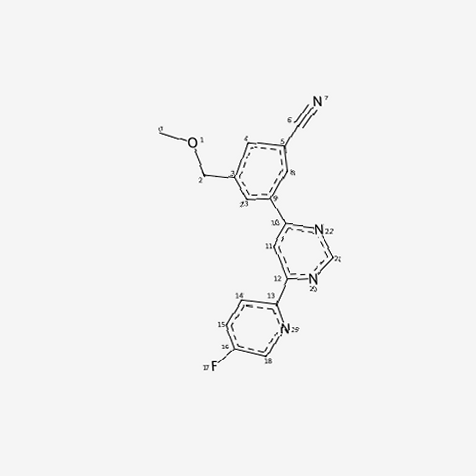 COCc1cc(C#N)cc(-c2cc(-c3ccc(F)cn3)ncn2)c1